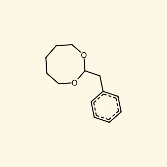 c1ccc(CC2OCCCCCO2)cc1